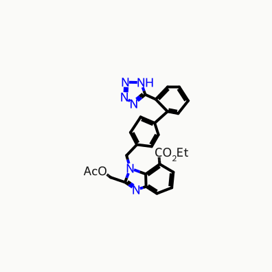 CCOC(=O)c1cccc2nc(COC(C)=O)n(Cc3ccc(-c4ccccc4-c4nnn[nH]4)cc3)c12